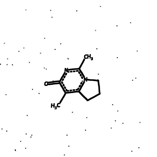 Cc1c2n(c(C)nc1=O)CCC2